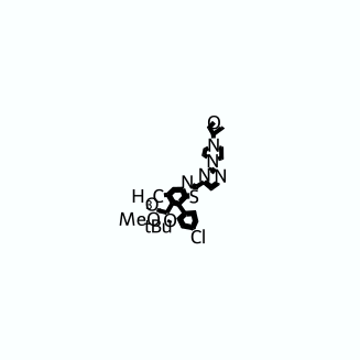 COC(=O)C(OC(C)(C)C)c1c(C)cc2nc(-c3ccnc(N4CCN(C5COC5)CC4)n3)sc2c1-c1ccc(Cl)cc1